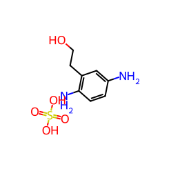 Nc1ccc(N)c(CCO)c1.O=S(=O)(O)O